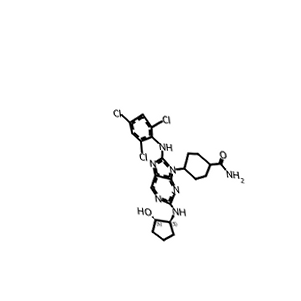 NC(=O)C1CCC(n2c(Nc3c(Cl)cc(Cl)cc3Cl)nc3cnc(N[C@H]4CCC[C@@H]4O)nc32)CC1